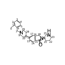 Cc1ccccc1CN1CCC(c2ccc3c(c2)CN(C2CCCNC2)C3=O)CC1